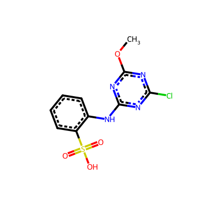 COc1nc(Cl)nc(Nc2ccccc2S(=O)(=O)O)n1